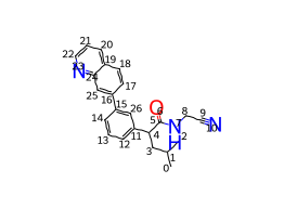 CC(C)CC(C(=O)NCC#N)c1cccc(-c2ccc3cccnc3c2)c1